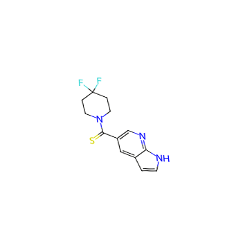 FC1(F)CCN(C(=S)c2cnc3[nH]ccc3c2)CC1